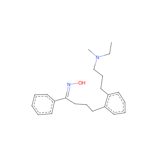 CCN(C)CCCc1ccccc1CCCC(=NO)c1ccccc1